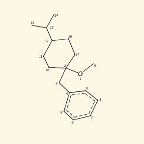 COC1(Cc2ccccc2)CCC(C(C)C)CC1